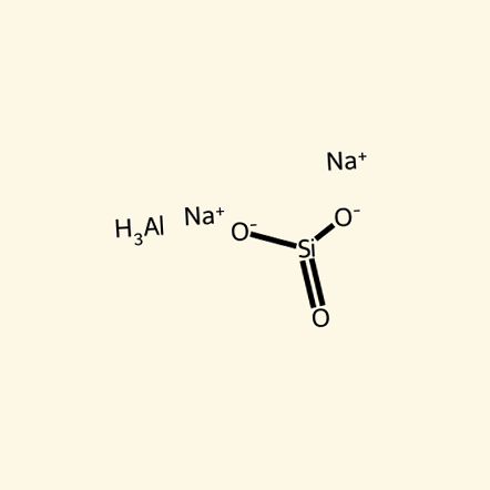 O=[Si]([O-])[O-].[AlH3].[Na+].[Na+]